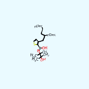 CCCCCCCCCCCCC(CCCCCCCCCC)Cc1ccsc1B(O)OC(C)(C)C(C)(C)O